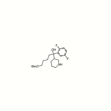 COCCCCC(O)(c1cc(F)ccc1F)C1CCCNC1